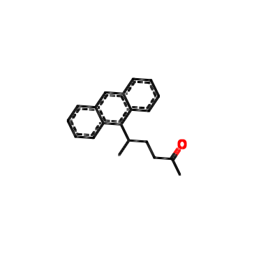 CC(=O)CCC(C)c1c2ccccc2cc2ccccc12